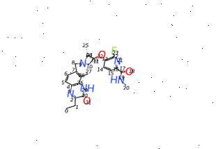 CCc1nc2ccc(CN3C[C@H](Oc4ccc(C(=O)NC)nc4F)[C@H]3C)c(C)c2[nH]c1=O